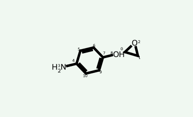 C1CO1.Nc1ccc(O)cc1